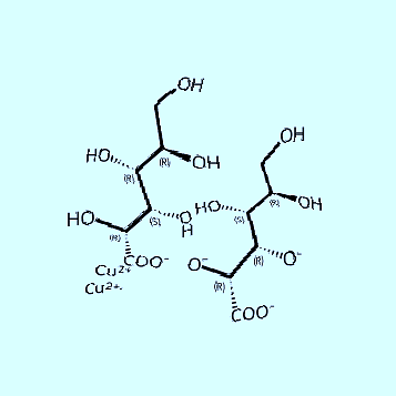 O=C([O-])[C@H](O)[C@@H](O)[C@H](O)[C@H](O)CO.O=C([O-])[C@H]([O-])[C@@H]([O-])[C@H](O)[C@H](O)CO.[Cu+2].[Cu+2]